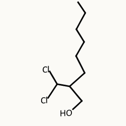 CCCCCCC(CO)C(Cl)Cl